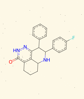 O=c1[nH]nc2c3c1CCCC3NC(c1ccc(F)cc1)C2c1ccccc1